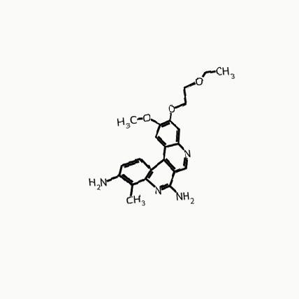 CCOCCOc1cc2ncc3c(N)nc4c(C)c(N)ccc4c3c2cc1OC